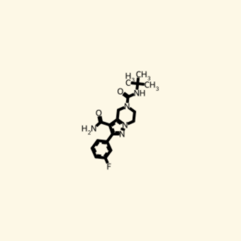 CC(C)(C)NC(=O)N1CCn2nc(-c3cccc(F)c3)c(C(N)=O)c2C1